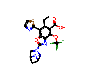 CCc1c(C(=O)O)c(OC(F)(F)F)c2nc(N3CC4CC(C3)N4)oc2c1-c1nccs1